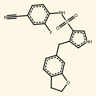 N#Cc1ccc(NS(=O)(=O)c2c[nH]cc2Cc2ccc3c(c2)OCC3)c(F)c1